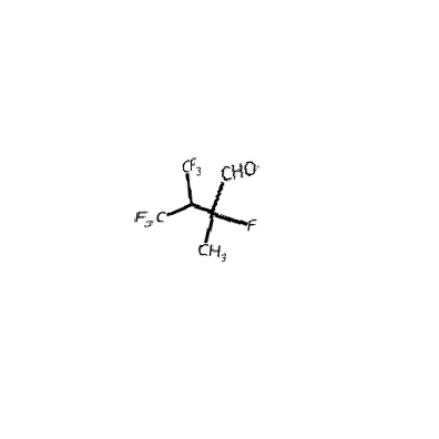 CC(F)([C]=O)C(C(F)(F)F)C(F)(F)F